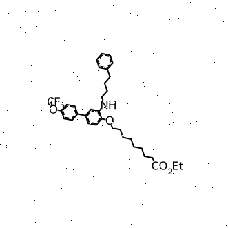 CCOC(=O)CCCCCCCCOc1ccc(-c2ccc(OC(F)(F)F)cc2)cc1NCCCCc1ccccc1